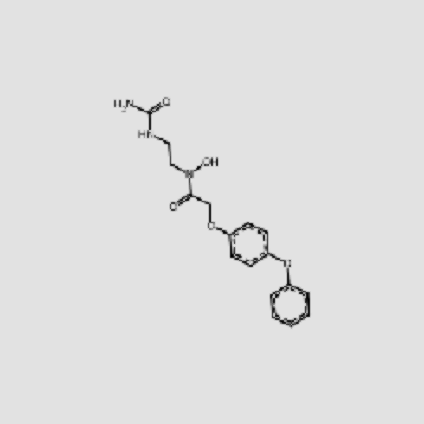 NC(=O)NCCN(O)C(=O)COc1ccc(Oc2ccccc2)cc1